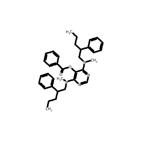 CCCC(CN(C)c1ncnc(N(C)CC(CCC)c2ccccc2)c1OC(=O)c1ccccc1)c1ccccc1